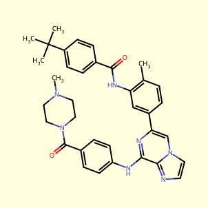 Cc1ccc(-c2cn3ccnc3c(Nc3ccc(C(=O)N4CCN(C)CC4)cc3)n2)cc1NC(=O)c1ccc(C(C)(C)C)cc1